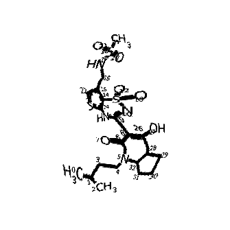 CC(C)CCN1C(=O)C(C2=NS(=O)(=O)c3c(CNS(C)(=O)=O)csc3N2)=C(O)C2CCCC21